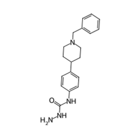 NNC(=O)Nc1ccc(C2CCN(Cc3ccccc3)CC2)cc1